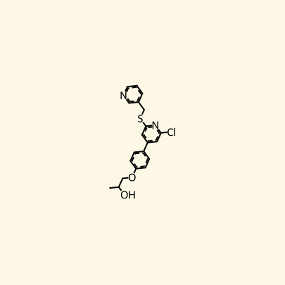 CC(O)COc1ccc(-c2cc(Cl)nc(SCc3cccnc3)c2)cc1